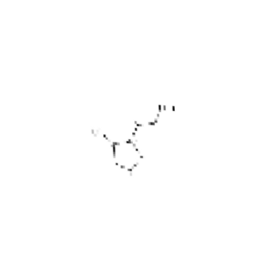 CC1CCCN1CCC=O